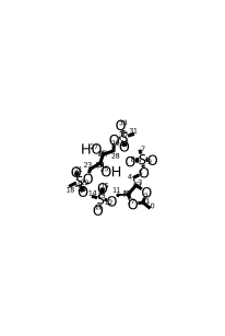 CC1O[C@@H](COS(C)(=O)=O)[C@H](COS(C)(=O)=O)O1.CS(=O)(=O)OC[C@H](O)[C@@H](O)COS(C)(=O)=O